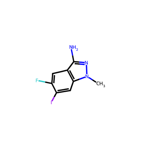 Cn1nc(N)c2cc(F)c(I)cc21